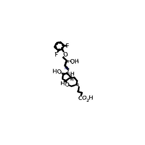 O=C(O)CCC[C@H]1CC[C@@H]2[C@@H](/C=C/[C@@H](O)COc3c(F)cccc3F)[C@H](O)C[C@@H]2OC1